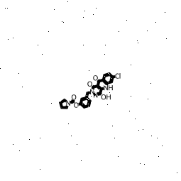 O=C(Oc1cccc(Cn2nc(O)c3[nH]c4cc(Cl)ccc4c(=O)c3c2=O)c1)N1CCCC1